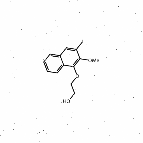 COc1c(I)cc2ccccc2c1OCCO